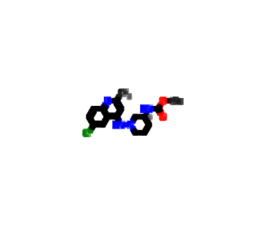 CC(C)(C)OC(=O)N[C@H]1CCCN(Nc2cc(C(F)(F)F)nc3ccc(Cl)cc23)C1